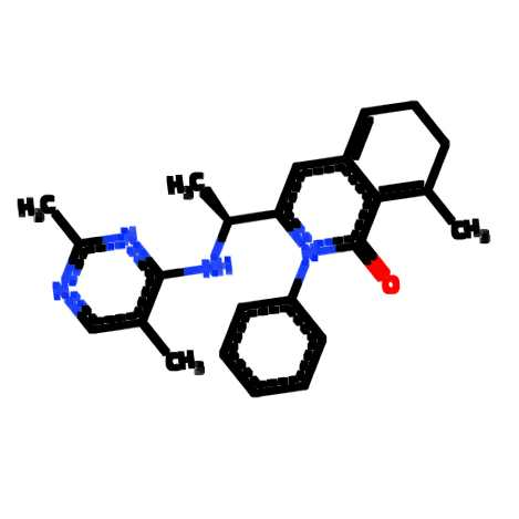 CC1=c2c(cc([C@H](C)Nc3nc(C)ncc3C)n(-c3ccccc3)c2=O)=CCC1